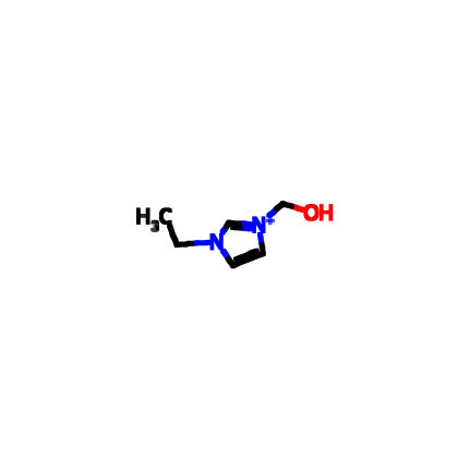 CCn1cc[n+](CO)c1